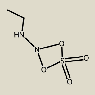 CCNN1OS(=O)(=O)O1